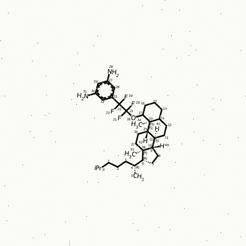 CC(C)CCC[C@@H](C)[C@H]1CC[C@H]2[C@@H]3CCC4CCCC(OC(F)(F)C(F)(F)c5cc(N)cc(N)c5)[C@]4(C)[C@H]3CC[C@]12C